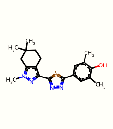 Cc1cc(-c2nnc(-c3nn(C)c4c3CCC(C)(C)C4)s2)cc(C)c1O